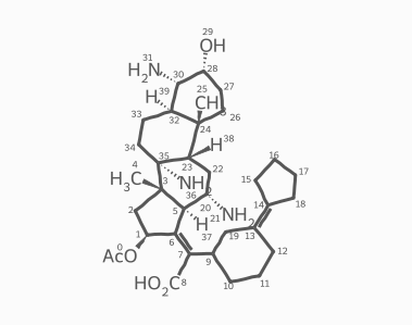 CC(=O)O[C@H]1C[C@@]2(C)[C@H](/C1=C(/C(=O)O)C1CCCC(=C3CCCC3)C1)[C@@H](N)C[C@H]1[C@@]3(C)CC[C@@H](O)[C@@H](N)[C@@H]3CC[C@@]12N